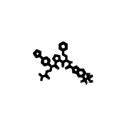 CN(C)C(=O)CCN(C(=O)C1CCCN1C(=O)C(CCc1ccccc1)NC(=O)c1cc2cc(C(F)(F)P(=O)(O)O)ccc2s1)c1ccc(-c2nccs2)cc1